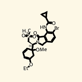 CCOC1=CC=CC(OC)([C@@H](CS(C)(=O)=O)N2Cc3ccc(Br)c(NC(=O)C4CC4)c3C2=O)C1